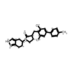 Cc1ccc(-c2cc(Cl)c(CC3CCN(C4CCc5n[nH]cc5C4)C3=O)c(Cl)c2)cc1